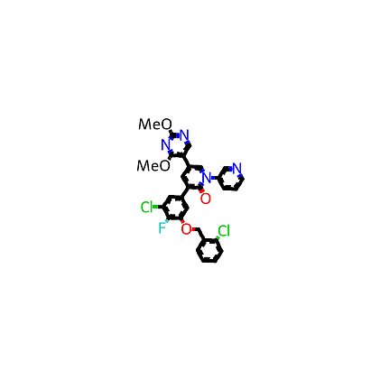 COc1ncc(-c2cc(-c3cc(Cl)c(F)c(OCc4ccccc4Cl)c3)c(=O)n(-c3cccnc3)c2)c(OC)n1